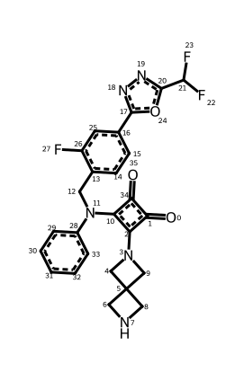 O=c1c(N2CC3(CNC3)C2)c(N(Cc2ccc(-c3nnc(C(F)F)o3)cc2F)c2ccccc2)c1=O